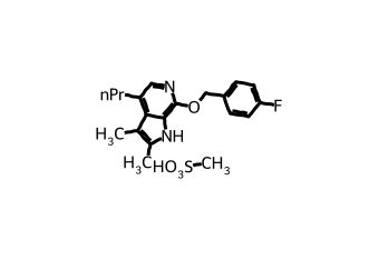 CCCc1cnc(OCc2ccc(F)cc2)c2[nH]c(C)c(C)c12.CS(=O)(=O)O